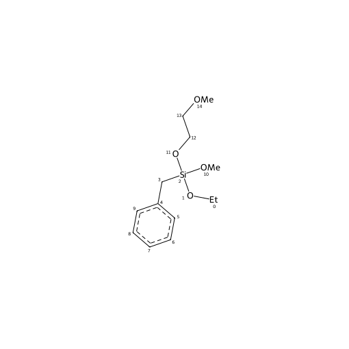 CCO[Si](Cc1ccccc1)(OC)OCCOC